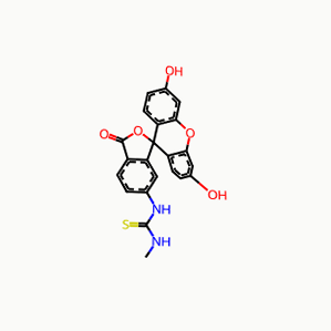 CNC(=S)Nc1ccc2c(c1)C1(OC2=O)c2ccc(O)cc2Oc2cc(O)ccc21